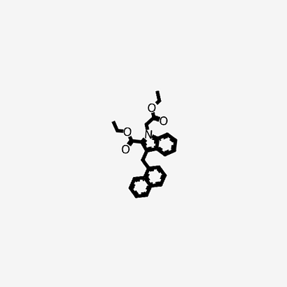 CCOC(=O)Cn1c(C(=O)OCC)c(Cc2cccc3ccccc23)c2ccccc21